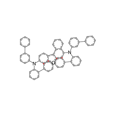 c1ccc(-c2cccc(N(c3ccc4c(c3)oc3cc(N(c5cccc(-c6ccccc6)c5)c5ccccc5-c5ccccc5)c5ccccc5c34)c3ccccc3-c3ccccc3)c2)cc1